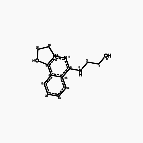 OCCNc1n[n+]2c(c3ccccc13)OCC2